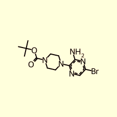 CC(C)(C)OC(=O)N1CCN(c2ncc(Br)nc2N)CC1